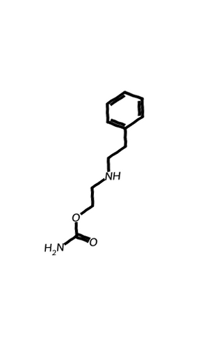 NC(=O)OCCNCCc1ccccc1